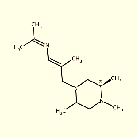 CC(C)=N/C=C(\C)CN1C[C@@H](C)N(C)CC1C